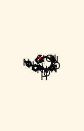 CN1CCN(c2ccc3nc4n(c3c2)C23CCC(CC2)CN(CCOc2c(cnn2C)-c2cc(cn(C)c2=O)C(=O)N4)C3)CC1